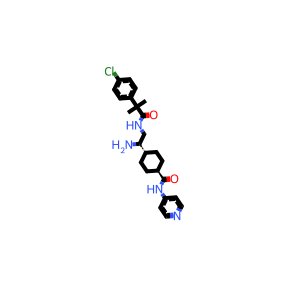 CC(C)(C(=O)NCC(N)[C@H]1CC[C@H](C(=O)Nc2ccncc2)CC1)c1ccc(Cl)cc1